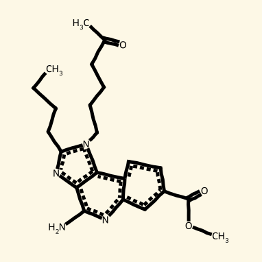 CCCCc1nc2c(N)nc3cc(C(=O)OC)ccc3c2n1CCCCC(C)=O